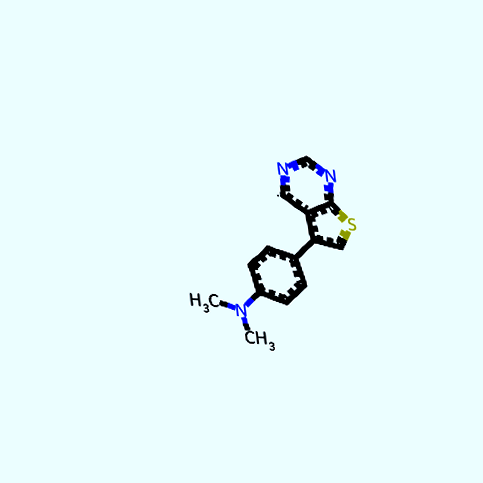 CN(C)c1ccc(-c2csc3ncn[c]c23)cc1